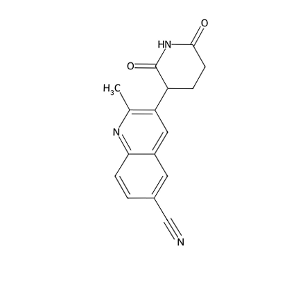 Cc1nc2ccc(C#N)cc2cc1C1CCC(=O)NC1=O